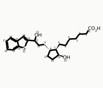 O=C(O)CCCCCC[C@@H]1[C@@H](CCC(O)c2cc3ccccc3s2)CC[C@@H]1O